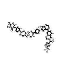 Cc1cc(-c2ncnc3[nH]c(-c4ccc(N5CCN(CC6CCN(c7ccc(N8CCC(=O)NC8=O)nc7)CC6)CC5)nc4)cc23)ccc1[C@@H](C)NC(=O)c1nc(C(C)(C)C)no1